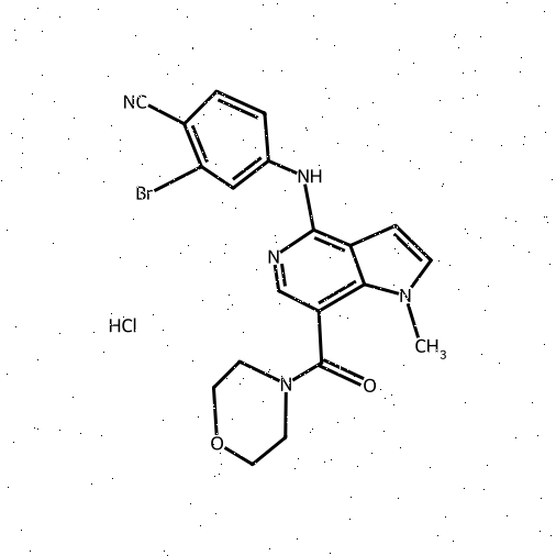 Cl.Cn1ccc2c(Nc3ccc(C#N)c(Br)c3)ncc(C(=O)N3CCOCC3)c21